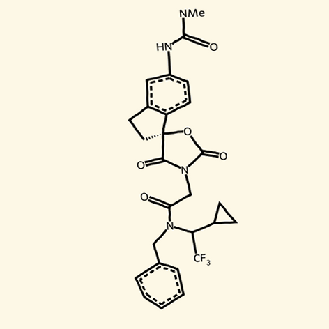 CNC(=O)Nc1ccc2c(c1)CC[C@@]21OC(=O)N(CC(=O)N(Cc2ccccc2)C(C2CC2)C(F)(F)F)C1=O